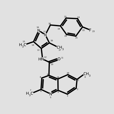 Cc1ccc2nc(C)cc(C(=O)Nc3c(C)nn(Cc4ccc(F)cc4)c3C)c2c1